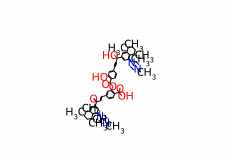 CN1CCN(c2cc(C(=O)/C=C/c3ccc(C(=O)O)c(OC(=O)c4ccc(C#CC(O)c5cc(N6CCN(C)CC6)c6c(c5)C(C)(C)CCC6(C)C)cc4O)c3)cc3c2C(C)(C)CCC3(C)C)CC1